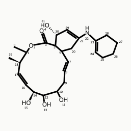 CC1OC(=O)C2C(/C=C/CC(O)C(O)[C@@H](O)/C=C\[C@H]1C)CC(NC1=CCCCC1)=C[C@H]2O